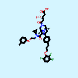 Cc1cccc(OCCN(C(=O)C2=C(c3ccc(CCCOc4c(F)ccc(F)c4F)cc3)C[C@@H]3CN(C(=O)C[C@H](O)CC(=O)O)C[C@H]2N3)C2CC2)c1